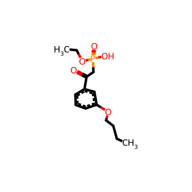 CCCCOc1cccc(C(=O)CP(=O)(O)OCC)c1